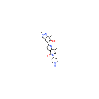 Cc1c(O)c(-c2ccc3c(=O)n(C4CCNCC4)cc(C)c3n2)cc2cn(C)nc12